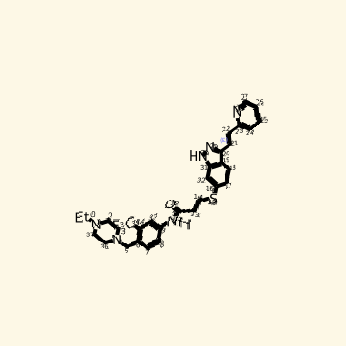 CCN1CCN(Cc2ccc(NC(=O)CCSc3ccc4c(/C=C/c5ccccn5)n[nH]c4c3)cc2C(F)(F)F)CC1